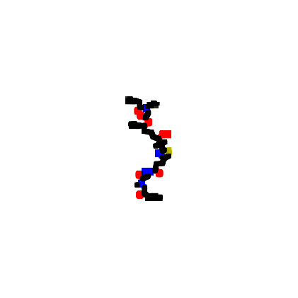 CCCN(CC(=O)OC(CCCC(O)C(C)(C)C1=NC(CCC(=O)NCC(=O)N(C)CC(=O)NC)CS1)C(C)(C)C)C(=O)CC(C)CC